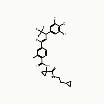 Cc1cc(C(F)=CC(c2cc(Cl)c(Cl)c(Cl)c2)C(F)(F)F)ccc1C(=O)NC1(C(=O)NCCC2CC2)CC1